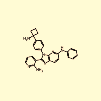 Nc1ncccc1-c1nc2ccc(Nc3ccccc3)nc2n1-c1ccc(C2(N)CCC2)cc1